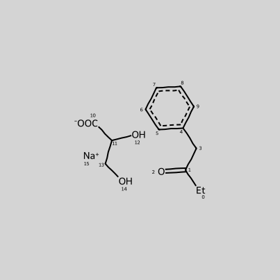 CCC(=O)Cc1ccccc1.O=C([O-])C(O)CO.[Na+]